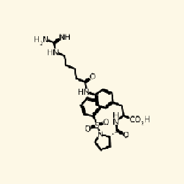 N=C(N)NCCCCC(=O)Nc1ccc(CC(NC(=O)[C@@H]2CCCN2S(=O)(=O)c2ccccc2)C(=O)O)cc1